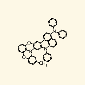 Cc1ccc2c(c1)B1c3cc4c(cc3Oc3cccc(c31)O2)-c1ccc(N(c2ccccc2)c2ccccc2)c2cccc(c12)N4c1ccccc1